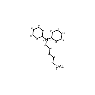 CC(=O)OCCCCCN(C1CCCCC1)C1CCCCC1